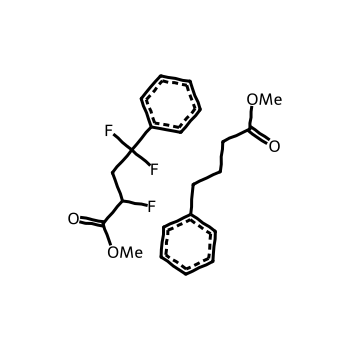 COC(=O)C(F)CC(F)(F)c1ccccc1.COC(=O)CCCc1ccccc1